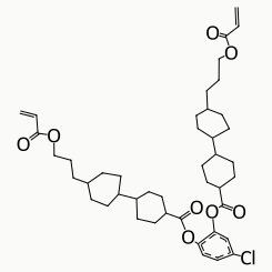 C=CC(=O)OCCCC1CCC(C2CCC(C(=O)Oc3ccc(Cl)cc3OC(=O)C3CCC(C4CCC(CCCOC(=O)C=C)CC4)CC3)CC2)CC1